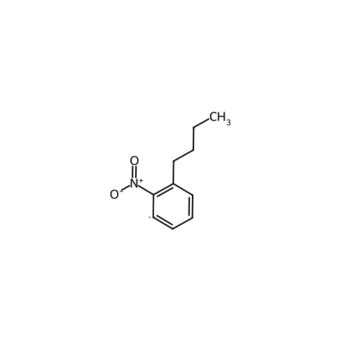 CCCCc1ccc[c]c1[N+](=O)[O-]